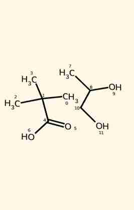 CC(C)(C)C(=O)O.CC(O)CO